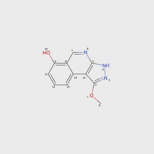 COc1n[nH]c2ncc3c(O)cccc3c12